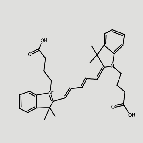 CC1(C)C(/C=C/C=C/C=C2/N(CCCC(=O)O)c3ccccc3C2(C)C)=[N+](CCCC(=O)O)c2ccccc21